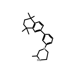 CC1CN(c2cccc(-c3ccc4c(c3)C(C)(C)CCC4(C)C)c2)CCN1